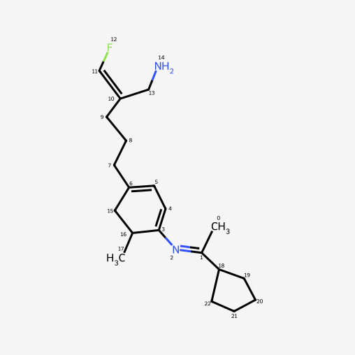 C/C(=N\C1=CC=C(CCC/C(=C/F)CN)CC1C)C1CCCC1